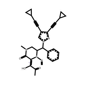 C=NN1/C(=C(/O)C(C)=O)C(=O)N(C)CC1C(c1ccccc1)n1cc(C#CC2CC2)c(C#CC2CC2)n1